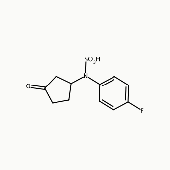 O=C1CCC(N(c2ccc(F)cc2)S(=O)(=O)O)C1